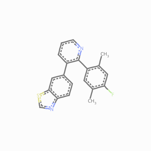 Cc1cc(-c2ncccc2-c2ccc3ncsc3c2)c(C)cc1F